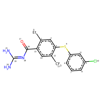 CCc1cc(Sc2cccc(Cl)c2)c(C(F)(F)F)cc1C(=O)N=C(N)N